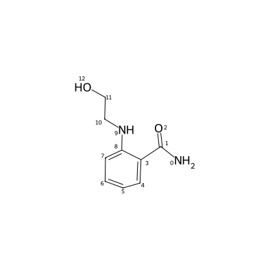 NC(=O)c1ccccc1NCCO